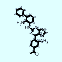 CC(=O)c1ccc(-c2nc(Nc3cccc(-c4ccccc4)c3N)nc3[nH]cnc23)c(N)c1